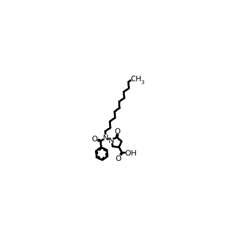 CCCCCCCCCCCCN(C(=O)c1ccccc1)N1CC(C(=O)O)CC1=O